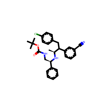 C[C@H](N[C@H](CNC(=O)OC(C)(C)C)c1ccccc1)C(Cc1ccc(Cl)cc1)c1cccc(C#N)c1